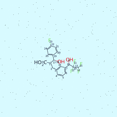 O=C(O)C(Cc1cccc(C(O)C(F)(F)C(F)F)c1)C(O)c1ccc(F)cc1